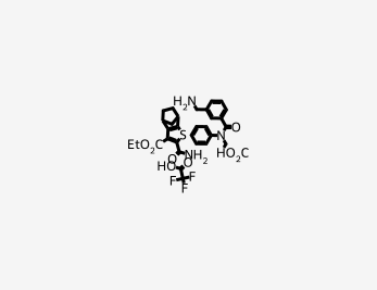 CCOC(=O)c1c(C(N)=O)sc2c1C1CCC2C1.NCc1cccc(C(=O)N(CC(=O)O)c2ccccc2)c1.O=C(O)C(F)(F)F